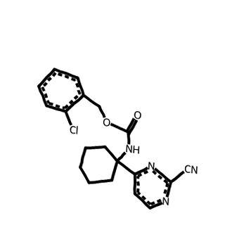 N#Cc1nccc(C2(NC(=O)OCc3ccccc3Cl)CCCCC2)n1